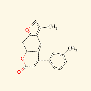 Cc1cccc(C2=CC(=O)OC3Cc4occ(C)c4C=C23)c1